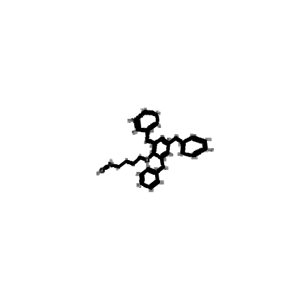 O=NCCCCOc1c(Cc2ccccc2)cc(Cc2ccccc2)cc1Cc1ccccc1